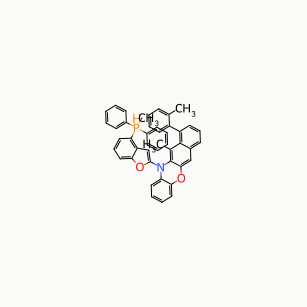 Cc1ccccc1-c1cccc2cc3c(c(C)c12)N(c1cc2c([PH](C)(c4ccccc4)c4ccccc4)cccc2o1)c1ccccc1O3